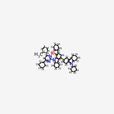 CC1C=CC=CC1c1cc(-c2ccccc2)nc(-n2c3ccccc3c3c(-c4ccc5c(c4)c4ccccc4n5-c4ccccc4)cc4c5ccccc5oc4c32)n1